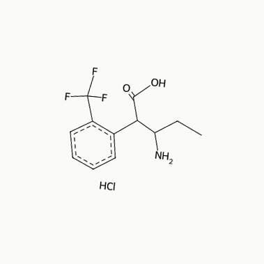 CCC(N)C(C(=O)O)c1ccccc1C(F)(F)F.Cl